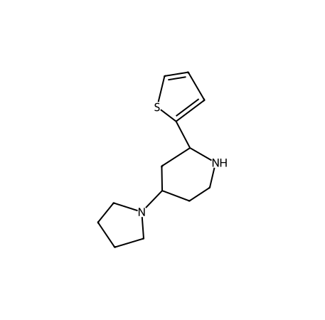 c1csc(C2CC(N3CCCC3)CCN2)c1